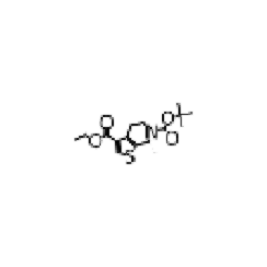 CCOC(=O)c1csc2c1CCN(C(=O)OC(C)(C)C)[C@@H]2C